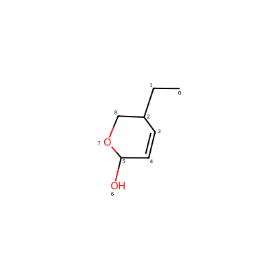 CCC1C=CC(O)OC1